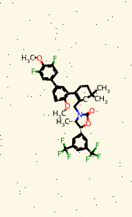 COc1ccc(-c2cc(F)c(OC)c(F)c2)cc1C1=C(CN2C(=O)O[C@H](c3cc(C(F)(F)F)cc(C(F)(F)F)c3)[C@@H]2C)CC(C)(C)CC1